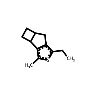 CCc1sc(C)c2c1CC1CCC21